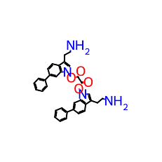 NCCc1cn(OC(=O)C(=O)On2cc(CCN)c3ccc(-c4ccccc4)cc32)c2cc(-c3ccccc3)ccc12